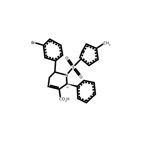 Cc1ccc(S(=O)(=O)N2C(c3cccc(Br)c3)CC=C(C(=O)O)[C@@H]2c2ccccc2)cc1